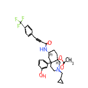 CC(=O)O[C@]12CC[C@@H](NC(=O)C#Cc3ccc(C(F)(F)F)cc3)C[C@]1(c1cccc(O)c1)CCN(CC1CC1)C2